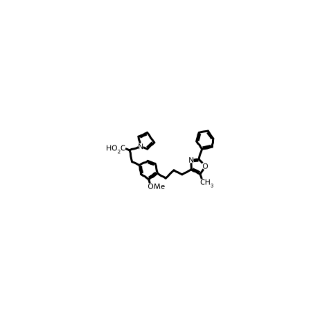 COc1cc(CC(C(=O)O)n2cccc2)ccc1CCCc1nc(-c2ccccc2)oc1C